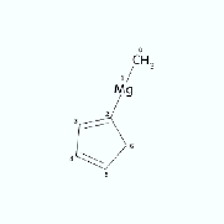 [CH3][Mg][C]1=CC=CC1